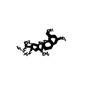 Cc1cc2c(cc1N(C)C)[Se]C1(C=Cc3cc([N+](=O)[O-])cc(CO)c3O1)N2C